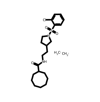 O=C(NCCC1CCN(S(=O)(=O)c2ccccc2Cl)C1)[C]1CCCCCCC1.[CH2].[CH2]